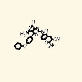 CN(C)C(=O)C(C#N)=Cc1cccc(Nc2nc(-c3ccc(Oc4ccccc4)cc3)c3c(N)n[nH]c3n2)c1